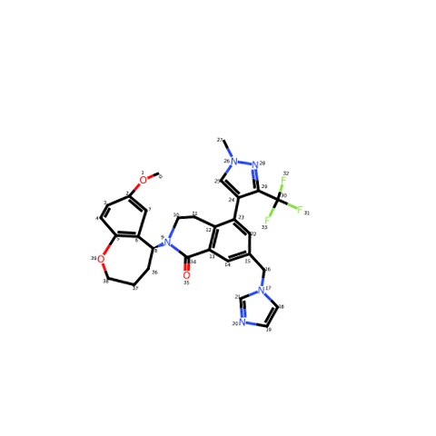 COc1ccc2c(c1)[C@@H](N1CCc3c(cc(Cn4ccnc4)cc3-c3cn(C)nc3C(F)(F)F)C1=O)CCCO2